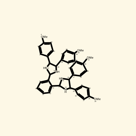 COc1ccc(C2NC(c3ccccc3C3NC(c4ccc(OC)cc4)C(c4ccc(OC)cc4)N3)NC2c2ccc(OC)cc2)cc1